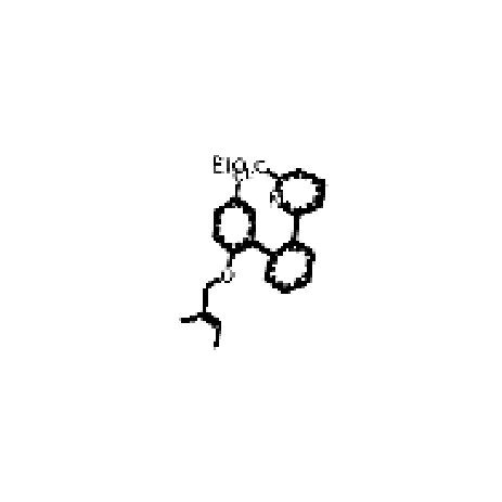 CC=C(C)COc1ccc(Cl)cc1-c1ccccc1-c1cccc(C(=O)OCC)n1